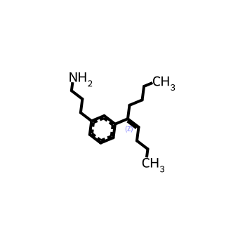 CCC/C=C(/CCCC)c1cccc(CCCN)c1